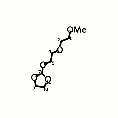 COCCOCCOC1OCCO1